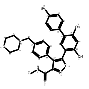 CCNC(=O)c1noc(-c2cc(-c3ccc(C(C)C)cc3)c(O)cc2O)c1-c1ccc(CN2CCOCC2)cc1